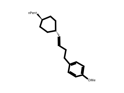 CCCCC[C@H]1CC[C@H](C=CCCc2ccc(OC)cc2)CC1